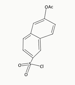 CC(=O)Oc1ccc2cc(S(=O)(=O)Cl)ccc2c1